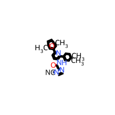 CC1(C)CC=C(c2nc(C3=C[C@@]4(C)C=C[C@@](C)(C3)O4)ccc2NC(=O)c2nccn2C#N)CC1